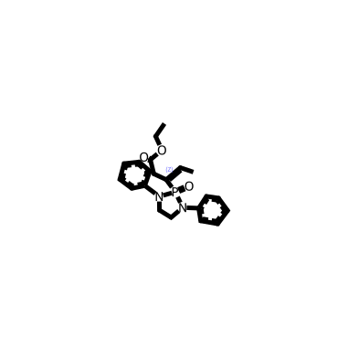 C/C=C(/CC(=O)OCC)P1(=O)N(c2ccccc2)CCN1c1ccccc1